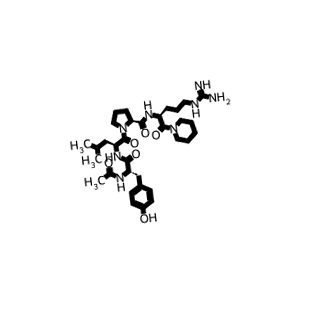 CC(=O)N[C@@H](Cc1ccc(O)cc1)C(=O)N[C@@H](CC(C)C)C(=O)N1CCC[C@H]1C(=O)N[C@@H](CCCNC(=N)N)C(=O)N1CCCCC1